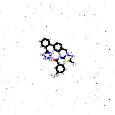 CCC1NN(Cc2ccc(-c3ccccc3-c3nnn[nH]3)cc2)C(=NC(=O)c2cccc(C(F)(F)F)c2)S1